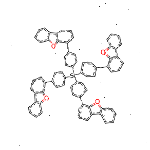 c1ccc2c(c1)oc1c(-c3ccc([Si](c4ccc(-c5cccc6c5oc5ccccc56)cc4)(c4ccc(-c5cccc6c5oc5ccccc56)cc4)c4ccc(-c5cccc6c5oc5ccccc56)cc4)cc3)cccc12